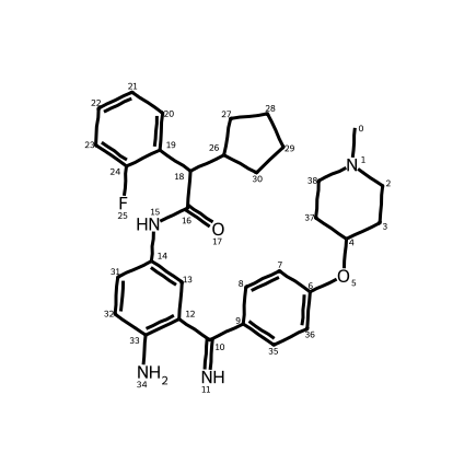 CN1CCC(Oc2ccc(C(=N)c3cc(NC(=O)C(c4ccccc4F)C4CCCC4)ccc3N)cc2)CC1